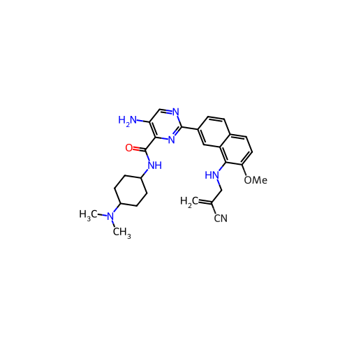 C=C(C#N)CNc1c(OC)ccc2ccc(-c3ncc(N)c(C(=O)NC4CCC(N(C)C)CC4)n3)cc12